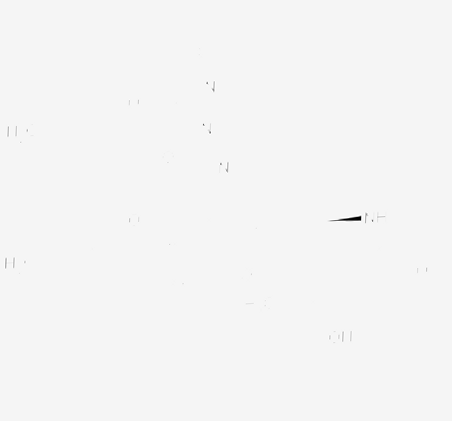 C=CCOC(=O)C(=[N+]=[N-])C(=O)[C@H](CCCN(C)C(=O)OCC=C)[C@H]1NC(=O)[C@@H]1[C@@H](C)O